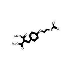 COC(=O)C(=Cc1ccc(OCCOC(=O)Cl)cc1)C(=O)OC